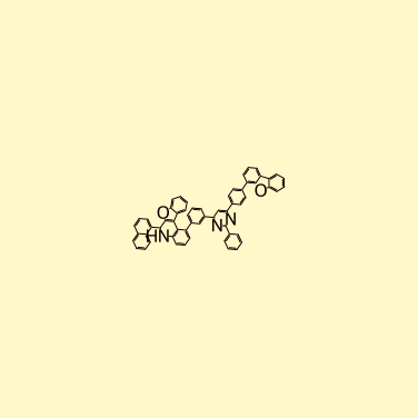 c1ccc(-c2nc(-c3ccc(-c4cccc5c4oc4ccccc45)cc3)cc(-c3cccc(-c4cccc5c4-c4c(oc6ccccc46)C(c4cccc6ccccc46)N5)c3)n2)cc1